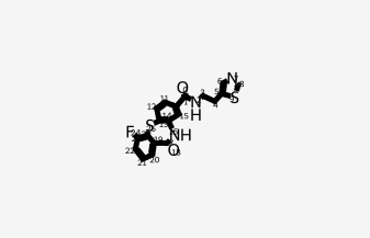 O=C(NCCc1cncs1)c1ccc2c(c1)NC(=O)c1cccc(F)c1S2